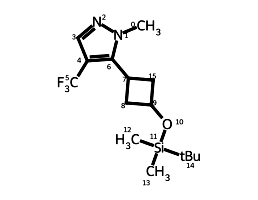 Cn1ncc(C(F)(F)F)c1C1CC(O[Si](C)(C)C(C)(C)C)C1